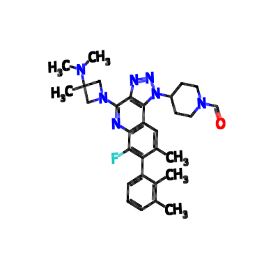 Cc1cccc(-c2c(C)cc3c(nc(N4CC(C)(N(C)C)C4)c4nnn(C5CCN(C=O)CC5)c43)c2F)c1C